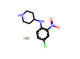 Br.O=[N+]([O-])c1cc(Cl)ccc1NC1CCNCC1